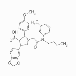 CCCCN(C(=O)CN1CC(c2ccc3c(c2)OCO3)C(C(=O)O)C1c1ccc(OC)cc1)c1cccc(C)c1